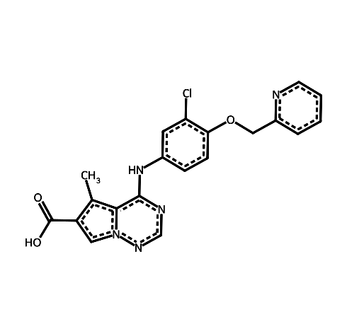 Cc1c(C(=O)O)cn2ncnc(Nc3ccc(OCc4ccccn4)c(Cl)c3)c12